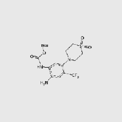 CC(C)(C)OC(=O)Nc1cc(N2CCS(=O)(=O)CC2)c(C(F)(F)F)cc1N